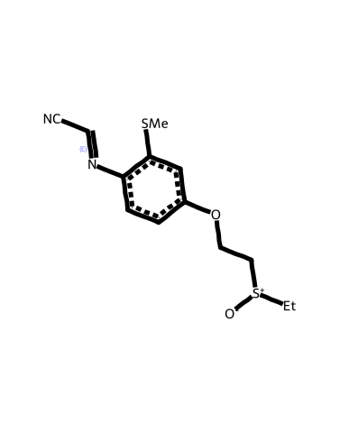 CC[S+]([O-])CCOc1ccc(/N=C/C#N)c(SC)c1